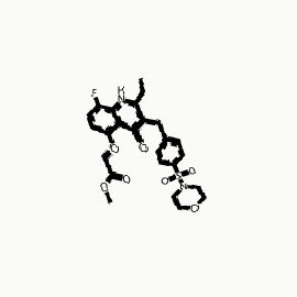 CCc1[nH]c2c(F)ccc(OCC(=O)OC)c2c(=O)c1Cc1ccc(S(=O)(=O)N2CCOCC2)cc1